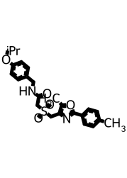 Cc1ccc(-c2nc(CS(=O)(=O)CC(=O)NCc3ccc(OC(C)C)cc3)c(C)o2)cc1